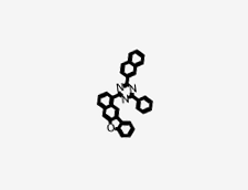 c1ccc(-c2nc(-c3ccc4ccccc4c3)nc(-c3cccc4cc5oc6ccccc6c5cc34)n2)cc1